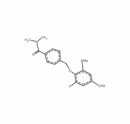 COc1cc(C=O)cc(F)c1OCc1ccc(C(=O)N(C)C)cc1